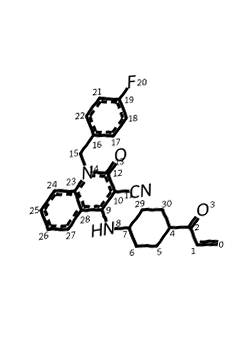 C=CC(=O)C1CCC(Nc2c(C#N)c(=O)n(Cc3ccc(F)cc3)c3ccccc23)CC1